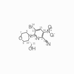 N#Cc1nc(N2CCOC[C@H]2CO)c(Br)cc1[N+](=O)[O-]